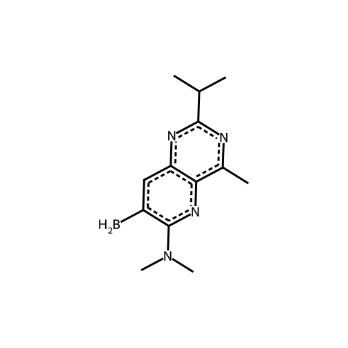 Bc1cc2nc(C(C)C)nc(C)c2nc1N(C)C